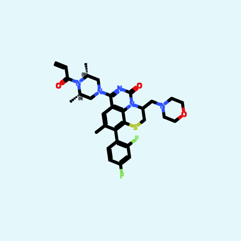 C=CC(=O)N1[C@H](C)CN(c2nc(=O)n3c4c(c(-c5ccc(F)cc5F)c(C)cc24)SCC3CN2CCOCC2)C[C@@H]1C